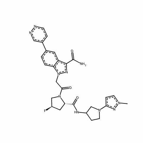 Cn1ccc(N2CCC(NC(=O)[C@@H]3C[C@@H](F)CN3C(=O)Cn3nc(C(N)=O)c4cc(-c5ccnnc5)ccc43)C2)n1